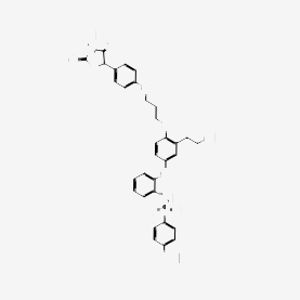 CCCc1cc(Oc2ccccc2NS(=O)(=O)c2ccc(C)cc2)ccc1OCCCOc1ccc(C2SC(=O)NC2=O)cc1